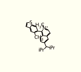 Cc1cc2ccsc2cc1-c1c2ccc(C(C(C)C)C(C)C)cc2cc[n+]1C